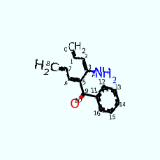 C=C/C=C(N)\C(=C/C=C)C(=O)c1ccccc1